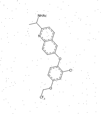 CC(=O)NC(C)c1ccc2cc(Oc3ccc(OCC(F)(F)F)cc3Cl)ccc2n1